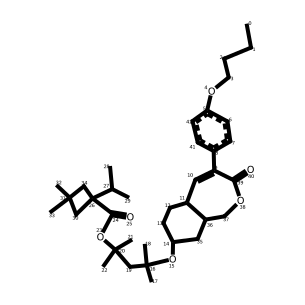 CCCCOc1ccc(C2=CC3CCC(OC(C)(C)CC(C)(C)OC(=O)C4(C(C)C)CC(C)(C)C4)CC3COC2=O)cc1